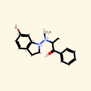 CC(C(=O)c1ccccc1)N(C(=O)O)N1CCc2ccc(Br)cc21